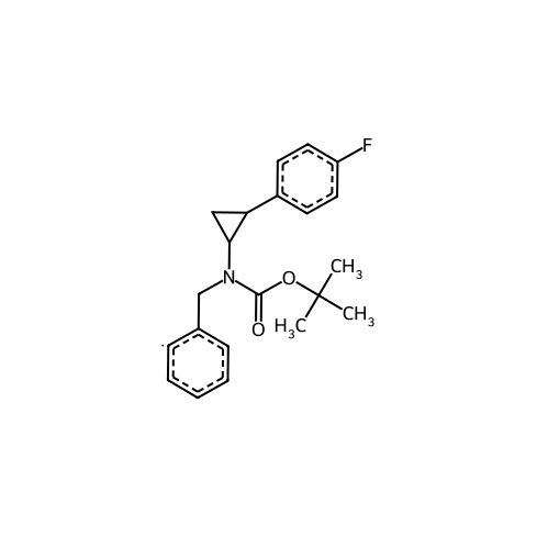 CC(C)(C)OC(=O)N(Cc1[c]cccc1)C1CC1c1ccc(F)cc1